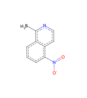 Bc1nccc2c([N+](=O)[O-])cccc12